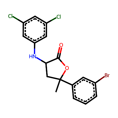 CC1(c2cccc(Br)c2)CC(Nc2cc(Cl)cc(Cl)c2)C(=O)O1